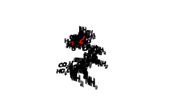 CC[C@H](C)[C@H](NC(=O)[C@H](CCCCN)NC(=O)[C@H](CCC(N)=O)NC(=O)CNC(=O)CNC(=O)[C@H](CCC(=O)O)NC(=O)[C@H](CC(N)=O)NC(=O)[C@@H](NC(=O)[C@H](CO)NC(=O)[C@H](CC(N)=O)NC(=O)[C@H](CC(C)C)NC(=O)[C@@H](N)CO)C(C)C)C(=O)N[C@@H](CCCCN)C(=O)N[C@@H](CC(N)=O)C(=O)N[C@@H](CCC(=O)O)C(=O)O